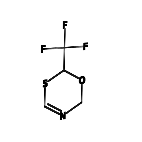 FC(F)(F)C1OCN=CS1